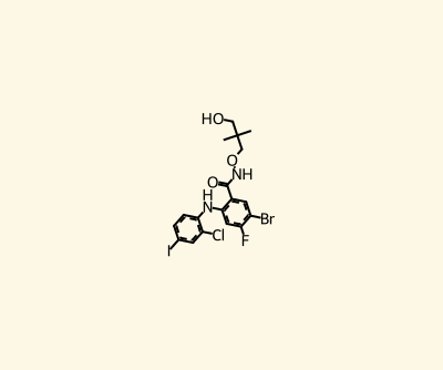 CC(C)(CO)CONC(=O)c1cc(Br)c(F)cc1Nc1ccc(I)cc1Cl